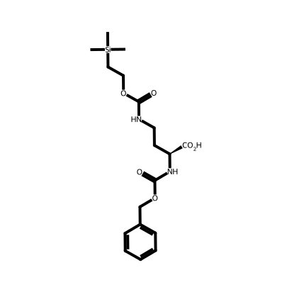 C[Si](C)(C)CCOC(=O)NCC[C@H](NC(=O)OCc1ccccc1)C(=O)O